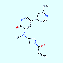 C=CC(=O)N1CC(N(C)c2cc(-c3ccnc(NC)c3)c[nH]c2=O)C1